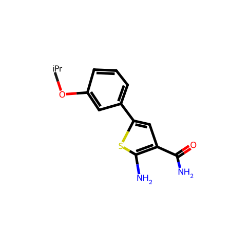 CC(C)Oc1cccc(-c2cc(C(N)=O)c(N)s2)c1